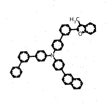 Cc1c(-c2cccc(-c3ccc(N(c4ccc(-c5cccc(-c6ccccc6)c5)cc4)c4ccc(-c5ccc6ccccc6c5)cc4)cc3)c2)oc2ccccc12